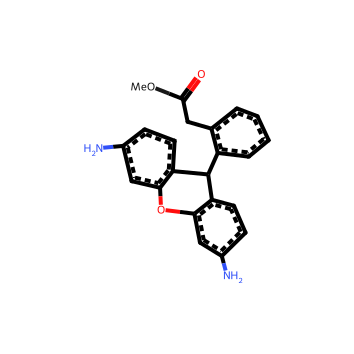 COC(=O)Cc1ccccc1C1c2ccc(N)cc2Oc2cc(N)ccc21